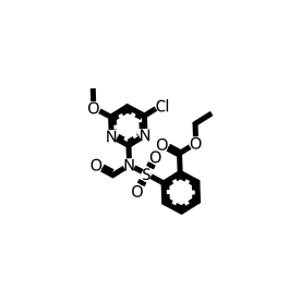 CCOC(=O)c1ccccc1S(=O)(=O)N(C=O)c1nc(Cl)cc(OC)n1